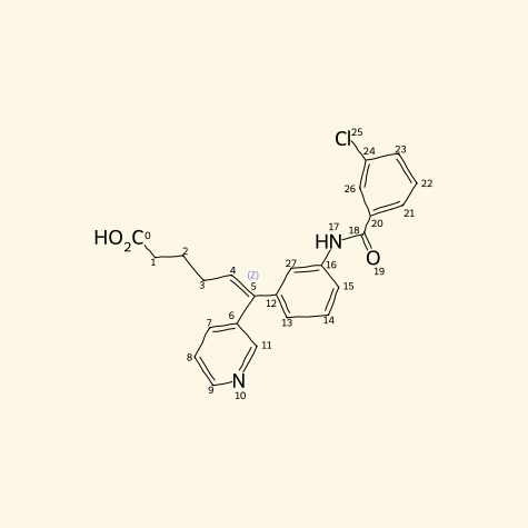 O=C(O)CCC/C=C(\c1cccnc1)c1cccc(NC(=O)c2cccc(Cl)c2)c1